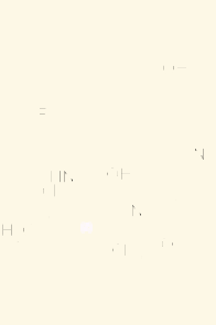 C=C(Cl)/C=C(\C(O)NCCF)C(C)N1Cc2c(ccnc2CCCO)C1=O